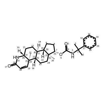 CC(C)(NC(=O)O[C@H]1CC[C@H]2[C@@H]3CC[C@H]4NC(=O)C=C[C@]4(C)[C@H]3CC[C@]12C)c1ccccc1